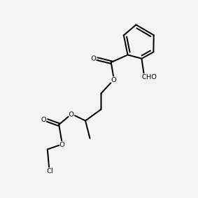 CC(CCOC(=O)c1ccccc1C=O)OC(=O)OCCl